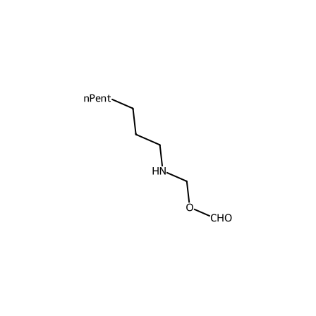 CCCCCCCCNCOC=O